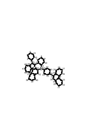 c1ccc(-c2c(-c3ccccc3N(c3ccc(-c4cc5ccccc5c5ccccc45)cc3)c3ccc4ccccc4c3)oc3ccccc23)cc1